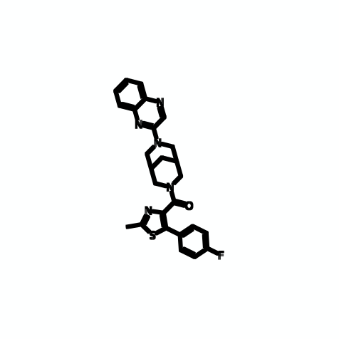 Cc1nc(C(=O)N2CC3CC(C2)CN(c2cnc4ccccc4n2)C3)c(-c2ccc(F)cc2)s1